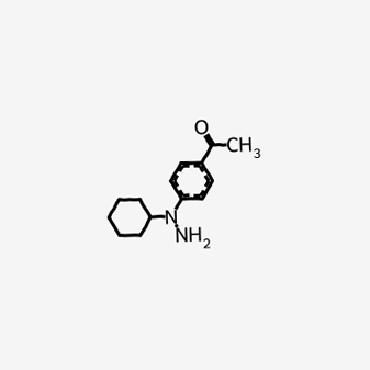 CC(=O)c1ccc(N(N)C2CCCCC2)cc1